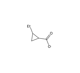 CCC1CC1C([O])=O